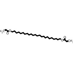 C=CC(=O)OCCCCCCCCCCCCCCCCCCCCCCCCOC(=O)C=C